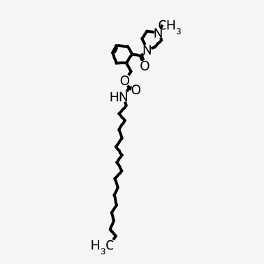 CCCCCCCCCCCCCCCCCCNC(=O)OCC1CC=CCC1C(=O)N1CCN(C)CC1